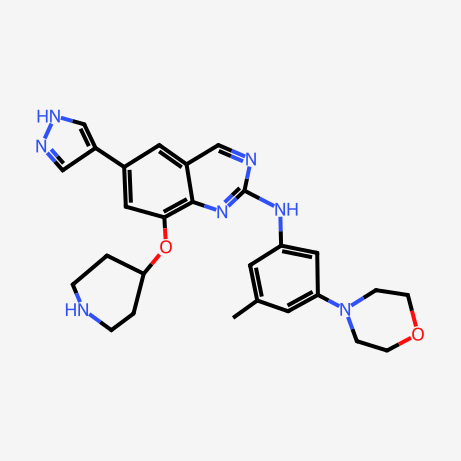 Cc1cc(Nc2ncc3cc(-c4cn[nH]c4)cc(OC4CCNCC4)c3n2)cc(N2CCOCC2)c1